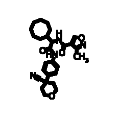 Cc1nocc1C(=O)NC(C(=O)Nc1ccc(C2(C#N)CCOCC2)cc1)C1CCCCCCC1